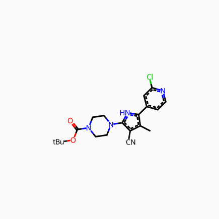 Cc1c(-c2ccnc(Cl)c2)[nH]c(N2CCN(C(=O)OC(C)(C)C)CC2)c1C#N